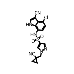 N#Cc1c[nH]c2c(NS(=O)(=O)c3cnn(CC4(C#N)CC4)c3)ccc(Cl)c12